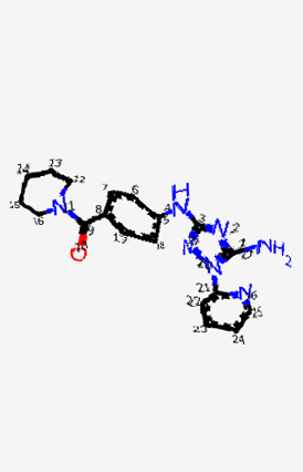 Nc1nc(Nc2ccc(C(=O)N3CCCCC3)cc2)nn1-c1ccccn1